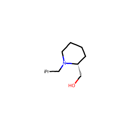 CC(C)CN1CCCC[C@@H]1CO